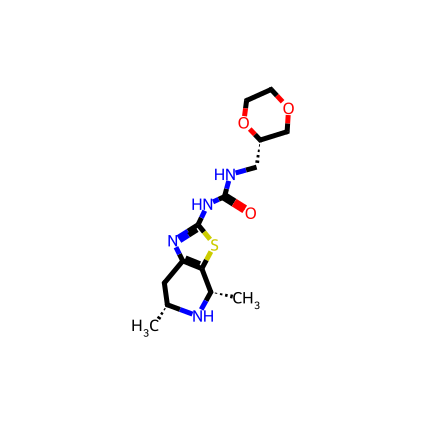 C[C@@H]1Cc2nc(NC(=O)NC[C@H]3COCCO3)sc2[C@H](C)N1